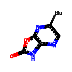 CC(C)(C)c1cnc2[nH]c(=O)oc2n1